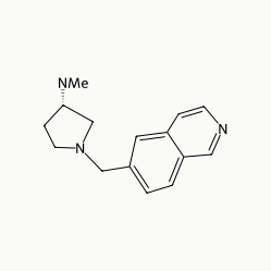 CN[C@H]1CCN(Cc2ccc3cnccc3c2)C1